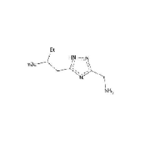 CCCCC(CC)Cc1nc(CN)n[nH]1